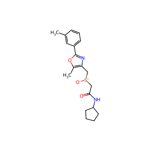 Cc1cccc(-c2nc(C[S+]([O-])CC(=O)NC3CCCC3)c(C)o2)c1